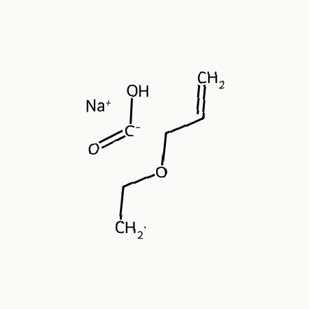 O=[C-]O.[CH2]COCC=C.[Na+]